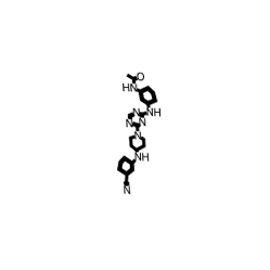 CC(=O)Nc1cccc(Nc2ncnc(N3CCC(Nc4cccc(C#N)c4)CC3)n2)c1